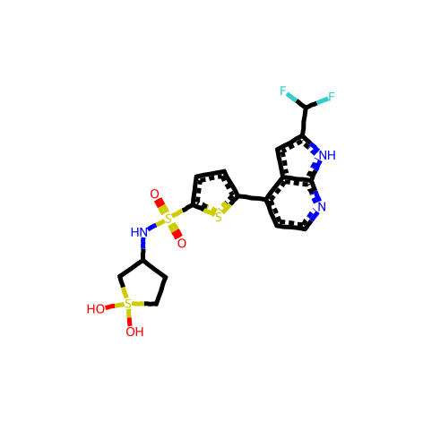 O=S(=O)(NC1CCS(O)(O)C1)c1ccc(-c2ccnc3[nH]c(C(F)F)cc23)s1